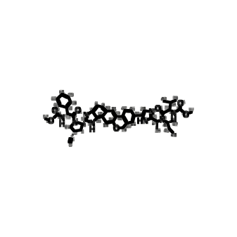 C#C[C@H]1C[C@@H](c2nc3ccc4cc5c(cc4c3[nH]2)OCc2cc(-c3cnc([C@H](C)N(C(=O)[C@@H](NC(=O)OC)C(C)C)[C@@H](C)CC)[nH]3)ccc2-5)N(C(=O)[C@H](NC(=O)OC)c2ccccc2)C1